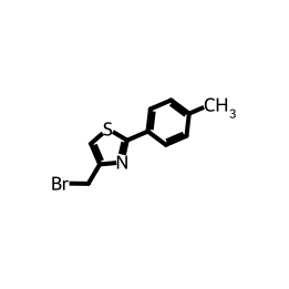 Cc1ccc(-c2nc(CBr)cs2)cc1